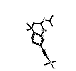 CC(C)OC1CC(C)(C)c2ccc(C#C[Si](C)(C)C)cc2N1